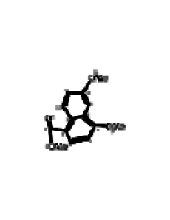 COC(=O)c1ccc(OC)c2cc(OC)ccc12